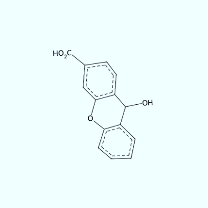 O=C(O)c1ccc2c(c1)Oc1ccccc1C2O